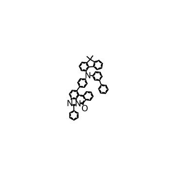 CC1(C)c2ccccc2-c2c(N(c3ccc(-c4ccc5nc(-c6ccccc6)n6c(=O)c7ccccc7c4c56)cc3)c3cccc(-c4ccccc4)c3)cccc21